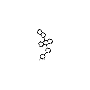 Cc1ccc(-c2cccc(-c3c4ccccc4c(-c4ccc5ccccc5c4)c4ccccc34)c2)cn1